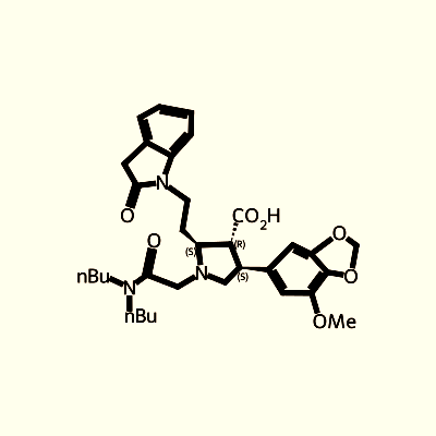 CCCCN(CCCC)C(=O)CN1C[C@H](c2cc(OC)c3c(c2)OCO3)[C@@H](C(=O)O)[C@@H]1CCN1C(=O)Cc2ccccc21